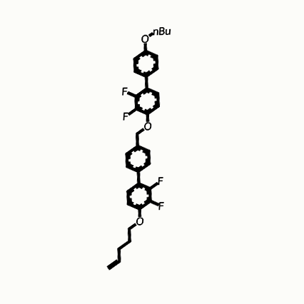 C=CCCCOc1ccc(-c2ccc(COc3ccc(-c4ccc(OCCCC)cc4)c(F)c3F)cc2)c(F)c1F